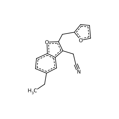 CCc1ccc2oc(Cc3ccco3)c(CC#N)c2c1